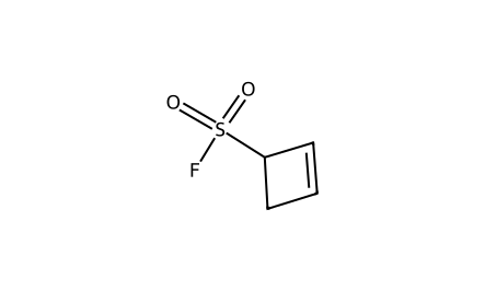 O=S(=O)(F)C1C=CC1